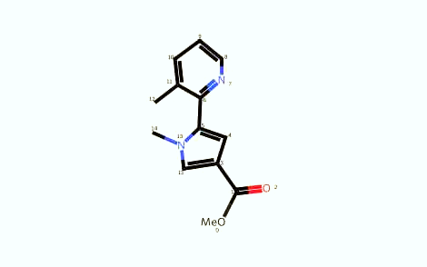 COC(=O)c1cc(-c2ncccc2C)n(C)c1